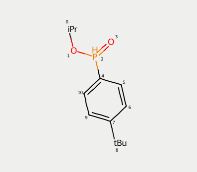 CC(C)O[PH](=O)c1ccc(C(C)(C)C)cc1